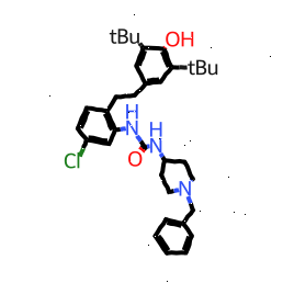 CC(C)(C)c1cc(CCc2ccc(Cl)cc2NC(=O)NC2CCN(Cc3ccccc3)CC2)cc(C(C)(C)C)c1O